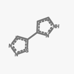 [c]1nnsc1-c1cc[nH]n1